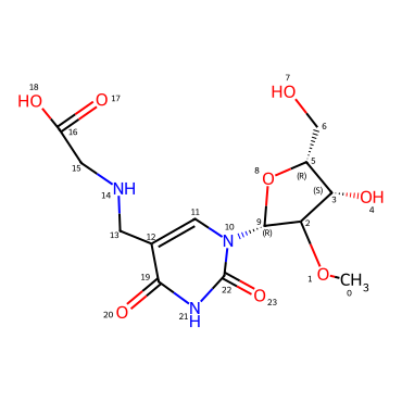 COC1[C@@H](O)[C@@H](CO)O[C@H]1n1cc(CNCC(=O)O)c(=O)[nH]c1=O